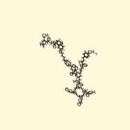 C#C[C@H]1CC(F)(F)CN1C(=O)CNC(=O)c1ccnc2ccc(OCCCCN3CCN(C(=O)CN4C(=O)CC(SC(CCCCCNC(=O)CCCc5ccc(C)cc5)CNC(=O)CN5CCN(COC=O)CCN(COC=O)CCN(CC(=O)O)CC5)C4=O)CC3)cc12